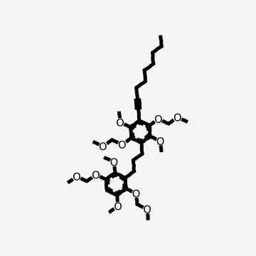 CCCCCCCC#Cc1c(OCOC)c(OC)c(CCCc2c(OC)c(OCOC)cc(OC)c2OCOC)c(OCOC)c1OC